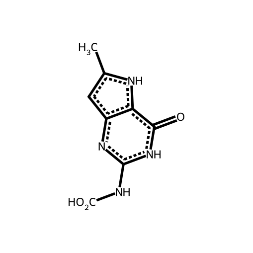 Cc1cc2nc(NC(=O)O)[nH]c(=O)c2[nH]1